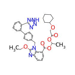 CCOc1nc2cccc(C(=O)OC(C)OC(=O)COC3CCCCC3)c2n1Cc1ccc(-c2ccccc2-c2nn[nH]n2)cc1